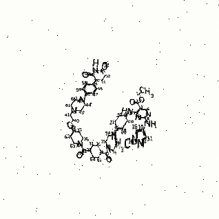 CCOC(=O)c1cnc(Nc2cnn(C)c2)nc1NC1CCC(N2CCN(C(=O)C3CCC(C(=O)N4CCC(OCCN5CCN(c6ccc(C7CCC(=O)NC7=O)cc6)CC5)CC4)CC3)CC2)CC1